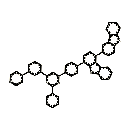 c1ccc(-c2nc(-c3ccc(-c4ccc(-c5ccc6sc7ccccc7c6c5)c5c4oc4ccccc45)cc3)cc(-c3cccc(-c4ccncc4)c3)n2)cc1